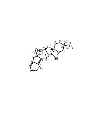 CCN(N(CC1=C2OC=CC=C2CC1(C)C)C(O)=S)P1(=O)OCC(C)(C)CO1